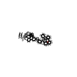 CC1(C)c2cccc3c4ccc(Oc5cccc(-n6c[n+](-c7c(-c8ccccc8)cccc7-c7ccccc7)c7ccccc76)c5)cc4n4ncc(c4c23)C1(C)C